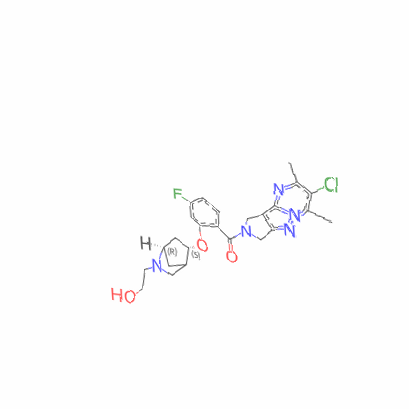 Cc1nc2c3c(nn2c(C)c1Cl)CN(C(=O)c1ccc(F)cc1O[C@H]1C[C@H]2CC1CN2CCO)C3